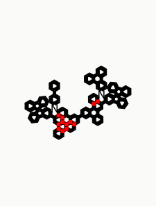 c1ccc(-c2ccc(N(c3ccc4c5cc(-c6ccc7c8ccc(-c9cc%10c(cc9N(c9ccccc9)c9ccc%11c%12ccccc%12c%12ccccc%12c%11c9)C9(c%11ccccc%11-c%11ccccc%119)c9ccccc9-%10)cc8c8ccccc8c7c6)ccc5c5ccccc5c4c3)c3cc4c(cc3-c3ccc5c6ccccc6c6ccccc6c5c3)-c3ccccc3C43c4ccccc4-c4ccccc43)cc2)cc1